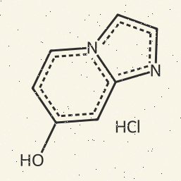 Cl.Oc1ccn2ccnc2c1